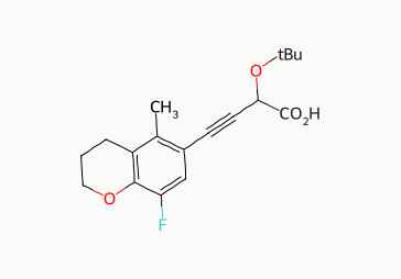 Cc1c(C#CC(OC(C)(C)C)C(=O)O)cc(F)c2c1CCCO2